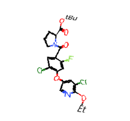 CCOc1ncc(Oc2cc(F)c(C(=O)N3CCC[C@H]3C(=O)OC(C)(C)C)cc2Cl)cc1Cl